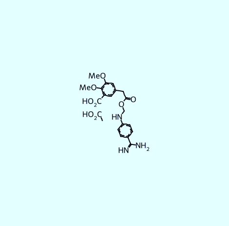 CC(=O)O.COc1cc(CC(=O)OCNc2ccc(C(=N)N)cc2)cc(C(=O)O)c1OC